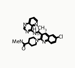 CNC(=O)C1CCN(c2nc3ccc(Cl)cc3cc2[C@H](C)Nc2ncnc3cccnc23)CC1